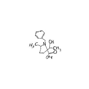 CC1CCC(C(=O)O)(C(C)O)N1Cc1ccccc1